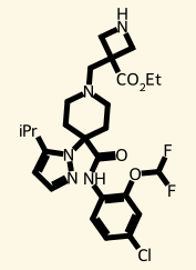 CCOC(=O)C1(CN2CCC(C(=O)Nc3ccc(Cl)cc3OC(F)F)(n3nccc3C(C)C)CC2)CNC1